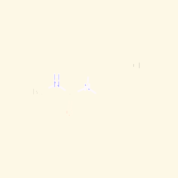 CC1CCN(C(=O)NC(C)(C)C)CC1